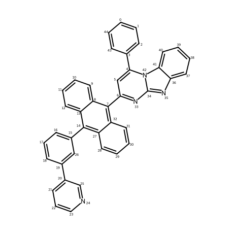 c1ccc(-c2cc(-c3c4ccccc4c(-c4cccc(-c5cccnc5)c4)c4ccccc34)nc3nc4ccccc4n23)cc1